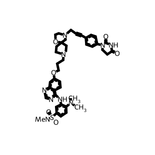 CNS(=O)(=O)c1ccc(N(C)C)c(Nc2ncnc3cc(OCCCN4CCC5(CC4)CN(CC#Cc4ccc(N6CCC(=O)NC6=O)cc4)CCO5)ccc23)c1